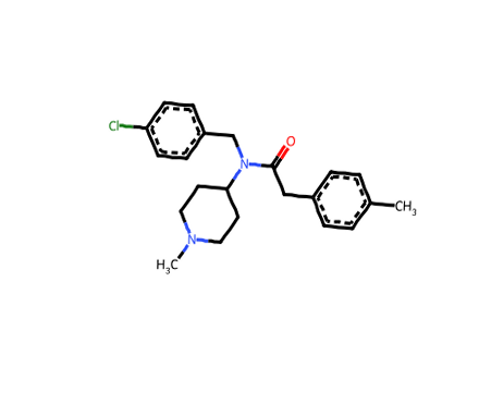 Cc1ccc(CC(=O)N(Cc2ccc(Cl)cc2)C2CCN(C)CC2)cc1